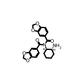 N[C@@H]1CCCC[C@H]1N(C(=O)c1ccc2c(c1)OCO2)C(=O)c1ccc2c(c1)OCO2